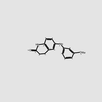 COc1cccc(Nc2ccc3c(c2)CCC(=O)N3)c1